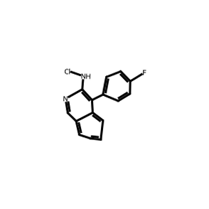 Fc1ccc(-c2c(NCl)ncc3ccccc23)cc1